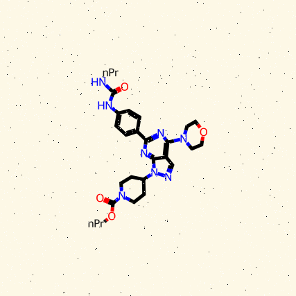 CCCNC(=O)Nc1ccc(-c2nc(N3CCOCC3)c3cnn(C4CCN(C(=O)OCCC)CC4)c3n2)cc1